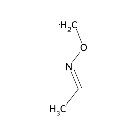 [CH2]ON=CC